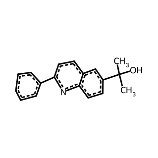 CC(C)(O)c1ccc2nc(-c3ccccc3)ccc2c1